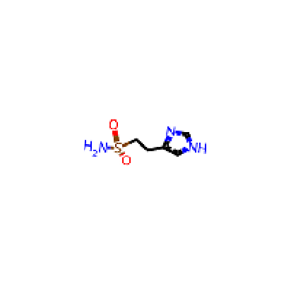 NS(=O)(=O)CCc1c[nH]cn1